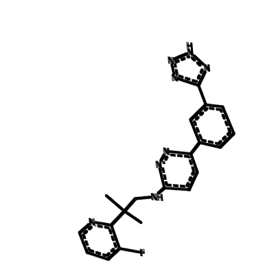 CC(C)(CNc1ccc(-c2cccc(-c3nn[nH]n3)c2)nn1)c1ncccc1F